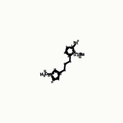 [2H]c1ccc(CCCc2cnn(C)c2)n1[C@@H](C)CC